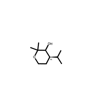 CC(C)[C@H]1CCOC(C)(C)C1O